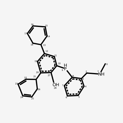 CNCc1ccccc1Pc1cc(C2C=CC=CC2)cc(C2C=CC=CC2)c1O